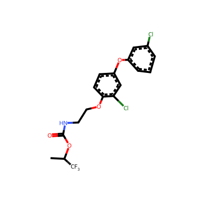 CC(OC(=O)NCCOc1ccc(Oc2cccc(Cl)c2)cc1Cl)C(F)(F)F